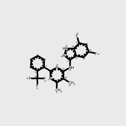 Cc1nc(-c2ccccc2C(F)(F)F)nc(Nc2n[nH]c3c(F)cc(F)cc23)c1C